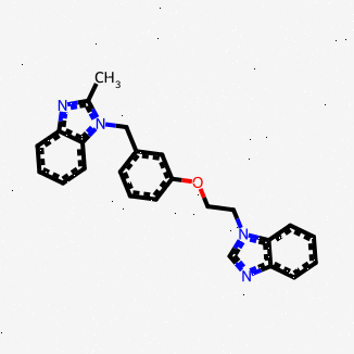 Cc1nc2ccccc2n1Cc1cccc(OCCn2cnc3ccccc32)c1